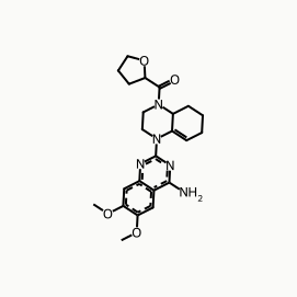 COc1cc2nc(N3CCN(C(=O)C4CCCO4)C4CCCC=C43)nc(N)c2cc1OC